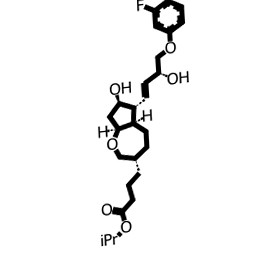 CC(C)OC(=O)CCC[C@H]1CC[C@@H]2[C@@H](C=C[C@@H](O)COc3cccc(F)c3)[C@H](O)C[C@@H]2OC1